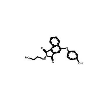 O=C1c2cc(Oc3ccc(O)cc3)c3ccccc3c2C(=O)N1NCCO